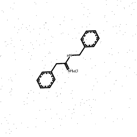 Cl.N=C(Cc1ccccc1)NCc1ccccc1